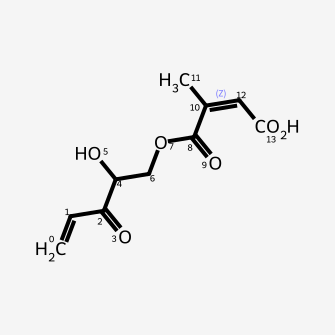 C=CC(=O)C(O)COC(=O)/C(C)=C\C(=O)O